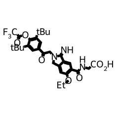 CCOc1cc2c(cc1C(=O)NCC(=O)O)C(=N)N(CC(=O)c1cc(C(C)(C)C)c(OC(=O)C(F)(F)F)c(C(C)(C)C)c1)C2